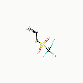 C=CCS(=O)(=O)C(F)(F)F